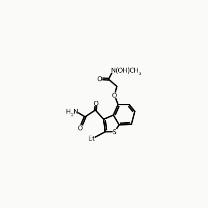 CCc1sc2cccc(OCC(=O)N(C)O)c2c1C(=O)C(N)=O